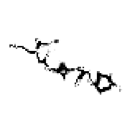 COCCN(CC(=O)NC12CC(NC(=O)COc3ccc(Cl)cc3)(C1)C2)C(=O)OC(C)(C)C